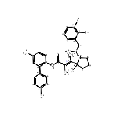 C/C(C(=O)Nc1ccc(C(F)(F)F)cc1-c1ccc(C#N)nc1)=C(/C)C1(C)CCCN1N(C)Cc1cccc(F)c1F